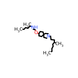 CCCCCC(C)CCCN1CCC2(CCC(OCCNC(C)CCCC)CC2)CC1